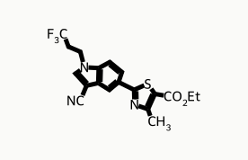 CCOC(=O)c1sc(-c2ccc3c(c2)c(C#N)cn3CCC(F)(F)F)nc1C